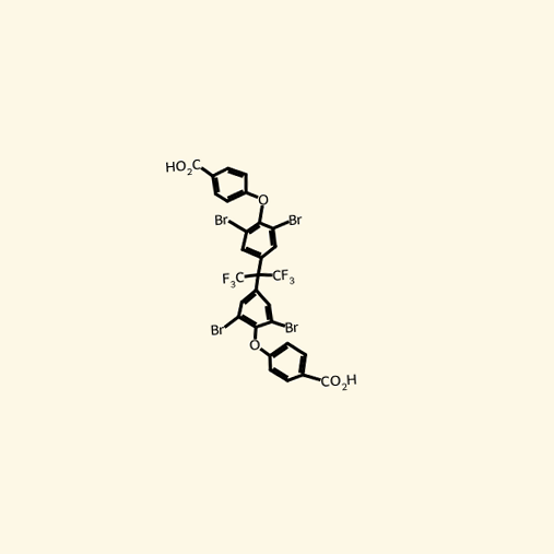 O=C(O)c1ccc(Oc2c(Br)cc(C(c3cc(Br)c(Oc4ccc(C(=O)O)cc4)c(Br)c3)(C(F)(F)F)C(F)(F)F)cc2Br)cc1